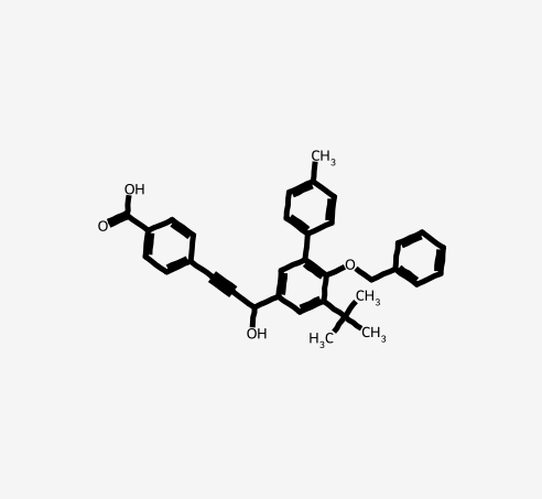 Cc1ccc(-c2cc(C(O)C#Cc3ccc(C(=O)O)cc3)cc(C(C)(C)C)c2OCc2ccccc2)cc1